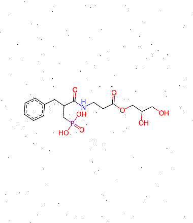 O=C(CCNC(=O)C(Cc1ccccc1)CP(=O)(O)O)OCC(O)CO